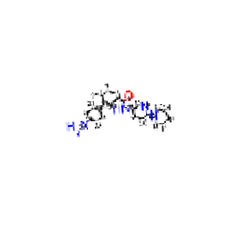 Cc1ccc(C(=O)Nc2ccc(N3CCCCC3)nc2)cc1-c1ccc(N)cc1